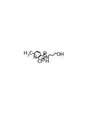 Cc1ccc(S(=O)(=O)NCCCO)c(Cl)n1